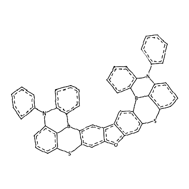 c1ccc(N2c3ccccc3B3c4cc5c(cc4Sc4cccc2c43)oc2cc3c(cc25)B2c4ccccc4N(c4ccccc4)c4cccc(c42)S3)cc1